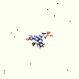 CC1CS(O)(O)CCN1c1nc2nc(-c3nc(=O)o[nH]3)nc(N[C@H](C)C3CCC3)c2n1C[C@H]1CC[C@H](C)CC1